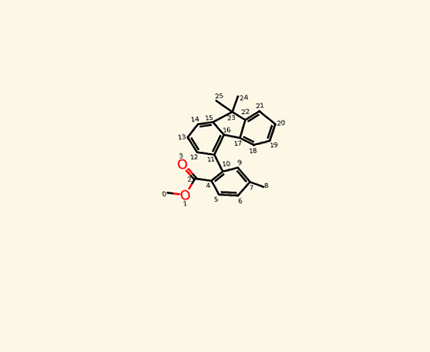 COC(=O)c1ccc(C)cc1-c1cccc2c1-c1ccccc1C2(C)C